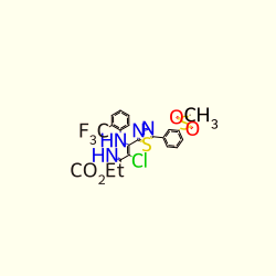 CCOC(=O)C(=N)/C(Cl)=C(\Nc1ccccc1C(F)(F)F)c1nnc(-c2cccc(S(C)(=O)=O)c2)s1